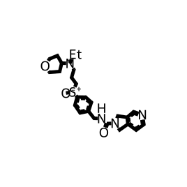 CCN(CCC[S+]([O-])c1ccc(CNC(=O)N2Cc3ccncc3C2)cc1)C1CCOCC1